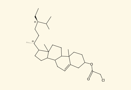 CC[C@H](CC[C@@H](C)C1CCC2C3CC=C4CC(OC(=O)CCl)CCC4(C)C3CCC21C)C(C)C